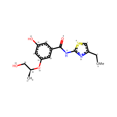 COCc1csc(NC(=O)c2cc(O)cc(O[C@@H](C)CO)c2)n1